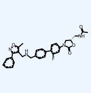 CC(=O)NC[C@H]1CN(c2ccc(-c3ccc(CNCc4c(-c5ccccc5)noc4C)cc3)c(F)c2)C(=O)O1